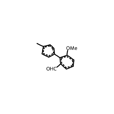 COc1cccc(C=O)c1-c1ccc(C)cc1